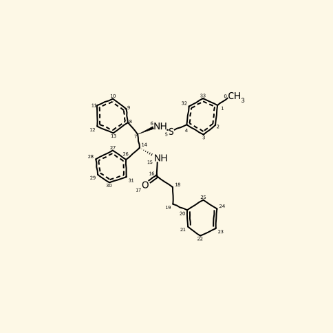 Cc1ccc(SN[C@H](c2ccccc2)[C@H](NC(=O)CCC2=CCC=CC2)c2ccccc2)cc1